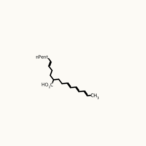 CC=CC=CC=CCCC(CCC=CCCCCC)C(=O)O